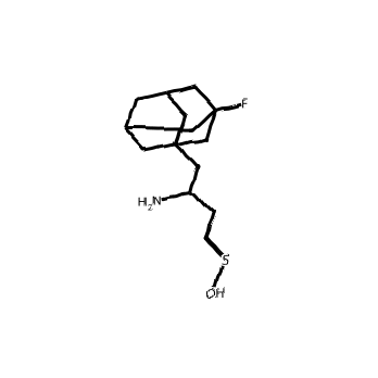 NC(CCSO)CC12CC3CC(CC(F)(C3)C1)C2